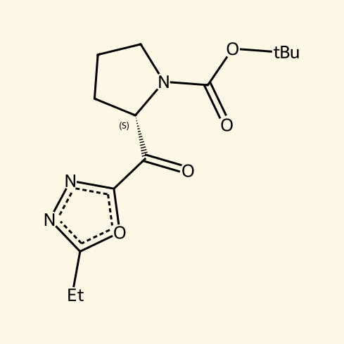 CCc1nnc(C(=O)[C@@H]2CCCN2C(=O)OC(C)(C)C)o1